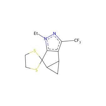 CCn1nc(C(F)(F)F)c2c1C1(SCCS1)C1CC21